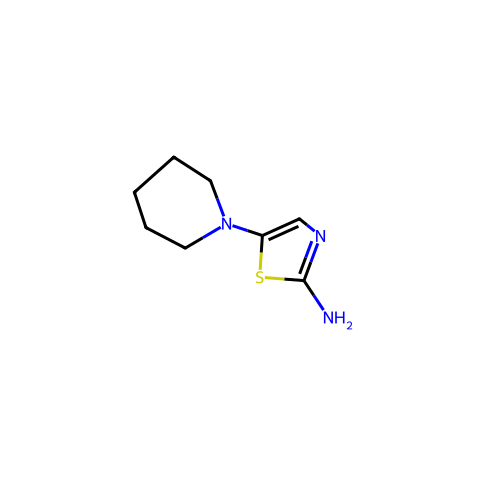 Nc1ncc(N2CCCCC2)s1